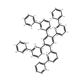 c1ccc(-c2cccc(-c3cc(-c4cccc(-c5ccccn5)n4)c(-c4cccc(-c5ccccn5)n4)cc3-c3cccc(-c4ccccn4)n3)n2)nc1